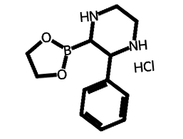 Cl.c1ccc(C2NCCNC2B2OCCO2)cc1